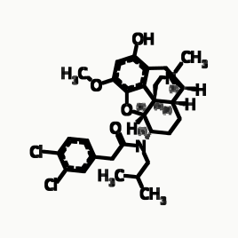 COc1cc(O)c2c3c1O[C@H]1[C@@H](N(CC(C)C)C(=O)Cc4ccc(Cl)c(Cl)c4)CC[C@H]4[C@@H](C2)N(C)CC[C@@]341